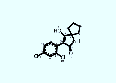 O=C1NC2(CCCC2)C(O)=C1c1ccc(Cl)cc1Cl